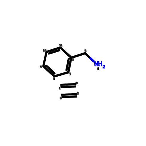 C=C.C=C.NCc1ccccc1